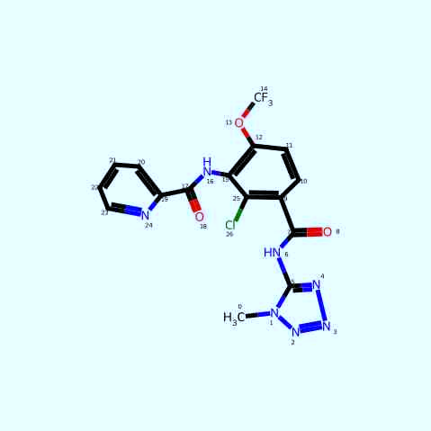 Cn1nnnc1NC(=O)c1ccc(OC(F)(F)F)c(NC(=O)c2ccccn2)c1Cl